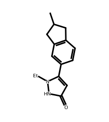 CCn1[nH]c(=O)cc1-c1ccc2c(c1)CC(C)C2